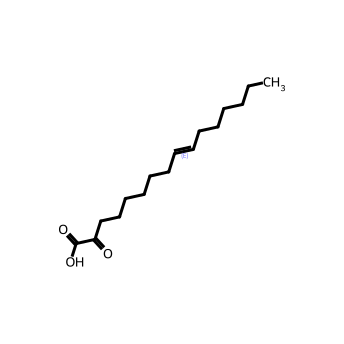 CCCCCC/C=C/CCCCCCC(=O)C(=O)O